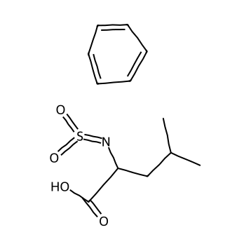 CC(C)CC(N=S(=O)=O)C(=O)O.c1ccccc1